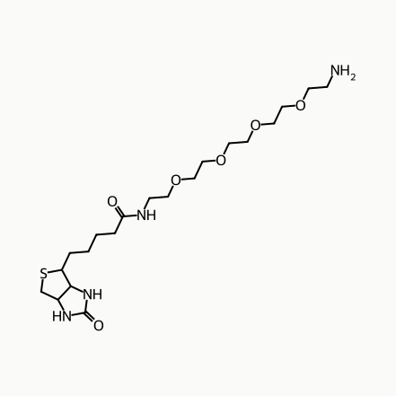 NCCOCCOCCOCCOCCNC(=O)CCCCC1SCC2NC(=O)NC21